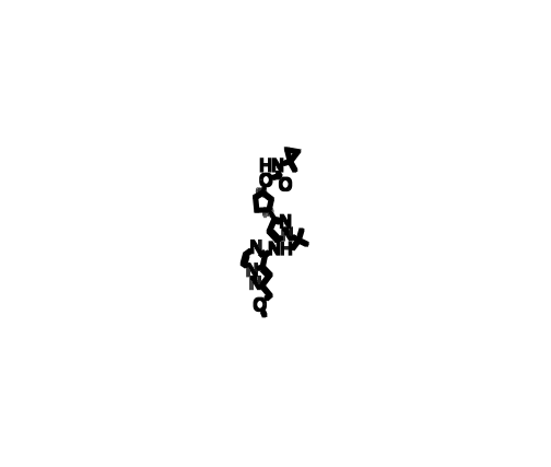 COCc1cc2c(Nc3cc([C@H]4CC[C@@H](OC(=O)NC5(C)CC5)C4)nn3C(C)(C)C)nccn2n1